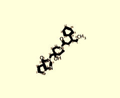 CCC(CC(=O)N1CCC(O)(Cn2cnc3sccc3c2=O)CC1)c1ccccc1